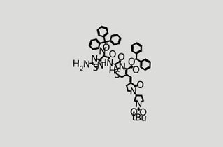 CC(C)(C)OC(=O)N1CCC(N2CC/C(=C\C3=C(C(=O)OC(c4ccccc4)c4ccccc4)N4C(=O)[C@@H](NC(=O)/C(=N\OC(c5ccccc5)(c5ccccc5)c5ccccc5)c5nsc(N)n5)[C@H]4SC3)C2=O)C1